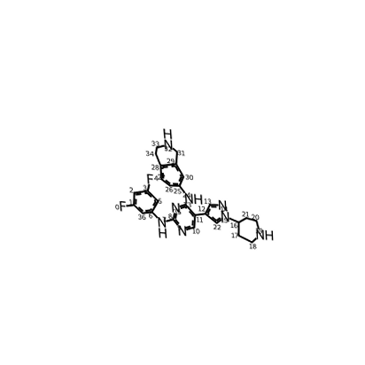 Fc1cc(F)cc(Nc2ncc(-c3cnn(C4CCNCC4)c3)c(Nc3ccc4c(c3)CNCC4)n2)c1